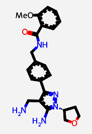 COc1ccccc1C(=O)NCc1ccc(-c2nn([C@@H]3CCOC3)c(N)c2CN)cc1